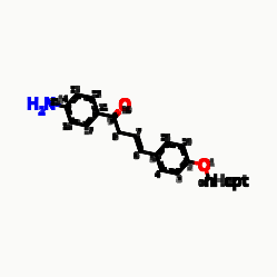 CCCCCCCOc1ccc(C=CCC(=O)c2ccc(N)cc2)cc1